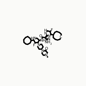 CN1CCN(C2CCN(C3C(NC(=O)c4c(N)nn5c4NCC(F)C5C4CCCCCCCCC4)CNC(C4CCCCCCCC4)C3F)CC2)C(=O)C1